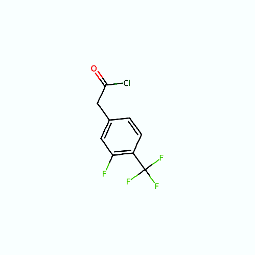 O=C(Cl)Cc1ccc(C(F)(F)F)c(F)c1